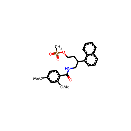 COc1ccc(C(=O)NCC(CCOS(C)(=O)=O)c2cccc3ccccc23)c(OC)c1